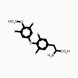 NC(Cc1cc(I)c(Oc2cc(I)c(OS(=O)(=O)O)c(I)c2)c(I)c1)C(=O)O